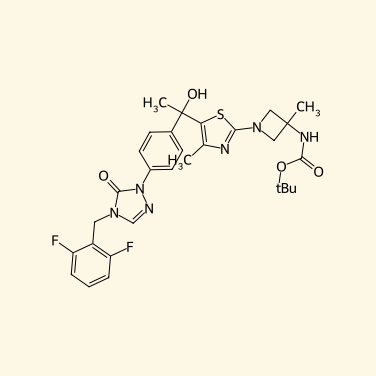 Cc1nc(N2CC(C)(NC(=O)OC(C)(C)C)C2)sc1C(C)(O)c1ccc(-n2ncn(Cc3c(F)cccc3F)c2=O)cc1